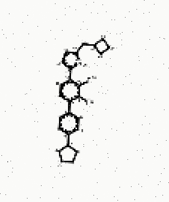 Fc1c(-c2ccc(C3CCCC3)cc2)ccc(-c2ccc(CC3CCC3)s2)c1F